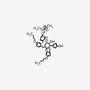 CCCCOc1ccc(CN2C(=O)N(Cc3ccc(OCCCC)cc3)[C@H](Cc3ccc(OC[PH]4(OCC)OC(C)O4)cc3)[C@H](O)[C@@H](O)C2c2ccc(O)cc2)cc1